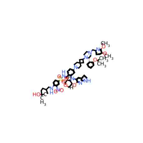 COc1ccc(CN2CCN(C3CC4(CCN(c5ccc(C(=O)NS(=O)(=O)c6ccc(NCC7CCC(C)(O)CC7)c([N+](=O)[O-])c6)c(N6c7cc8cc[nH]c8nc7O[C@H]7COCC[C@@H]76)c5)CC4)C3)[C@@H](c3ccccc3OC(C)C)C2)nc1OC